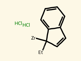 CC[C]1([Zr])C=Cc2ccccc21.Cl.Cl